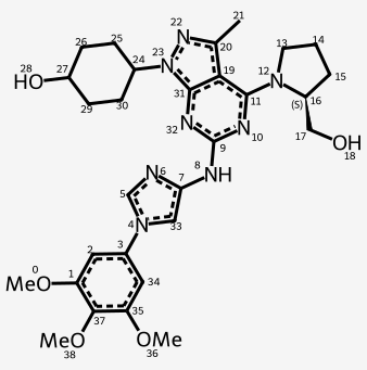 COc1cc(-n2cnc(Nc3nc(N4CCC[C@H]4CO)c4c(C)nn(C5CCC(O)CC5)c4n3)c2)cc(OC)c1OC